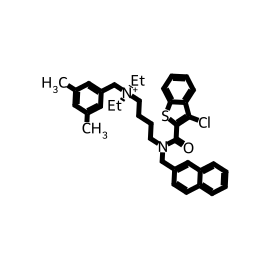 CC[N+](CC)(CCCCN(Cc1ccc2ccccc2c1)C(=O)c1sc2ccccc2c1Cl)Cc1cc(C)cc(C)c1